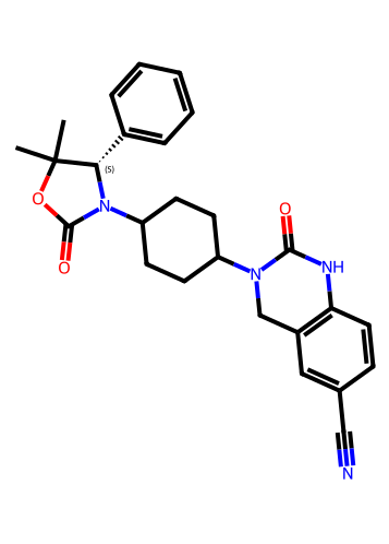 CC1(C)OC(=O)N(C2CCC(N3Cc4cc(C#N)ccc4NC3=O)CC2)[C@H]1c1ccccc1